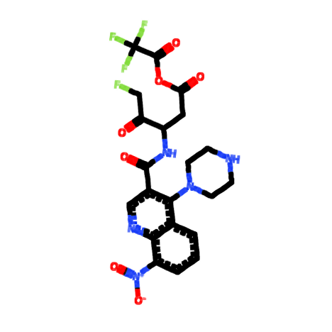 O=C(CC(NC(=O)c1cnc2c([N+](=O)[O-])cccc2c1N1CCNCC1)C(=O)CF)OC(=O)C(F)(F)F